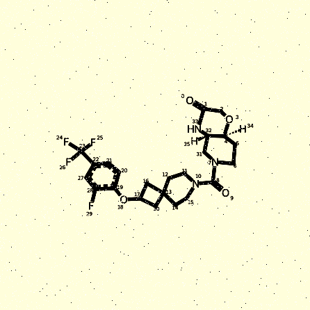 O=C1CO[C@H]2CCN(C(=O)N3CCC4(CC3)CC(Oc3ccc(C(F)(F)F)cc3F)C4)C[C@@H]2N1